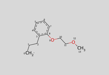 [CH2]CCc1ccccc1OCCOC